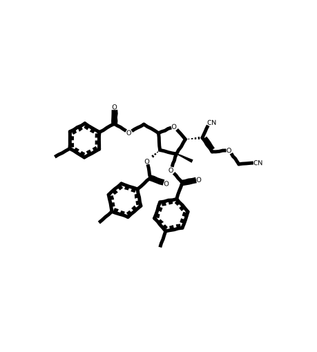 Cc1ccc(C(=O)OCC2O[C@H](/C(C#N)=C/OCC#N)[C@](C)(OC(=O)c3ccc(C)cc3)[C@@H]2OC(=O)c2ccc(C)cc2)cc1